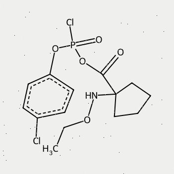 CCONC1(C(=O)OP(=O)(Cl)Oc2ccc(Cl)cc2)CCCC1